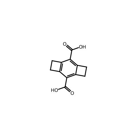 O=C(O)c1c2c(c(C(=O)O)c3c1CC3)CC2